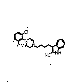 COc1cccc(Cl)c1N1CCN(CCCCc2c(C#N)[nH]c3ccccc23)CC1